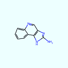 Nc1nc2cnc3ccccc3c2[nH]1